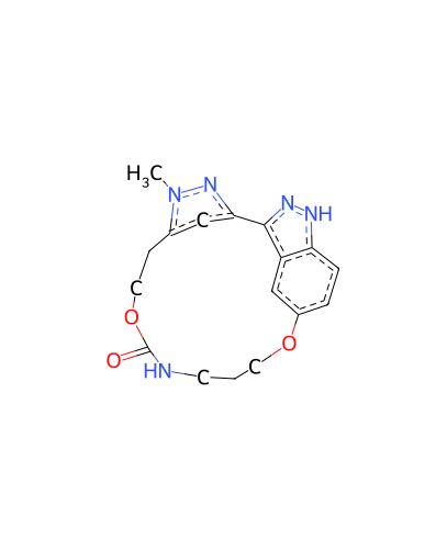 Cn1nc2cc1CCOC(=O)NCCCOc1ccc3[nH]nc-2c3c1